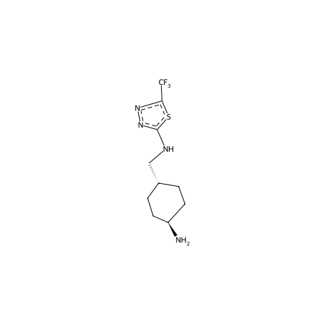 N[C@H]1CC[C@H](CNc2nnc(C(F)(F)F)s2)CC1